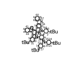 CC(C)(C)c1ccc(N2B3c4ccc(N(c5ccc(C(C)(C)C)cc5)c5ccc(C(C)(C)C)cc5)cc4-n4c5ccc(C(C)(C)C)cc5c5c6c(oc7ccccc76)c(c3c54)-c3cc4c(cc32)C(C)(C)c2ccccc2-4)cc1